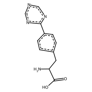 NC(Cc1ccc(-c2ncncn2)cc1)C(=O)O